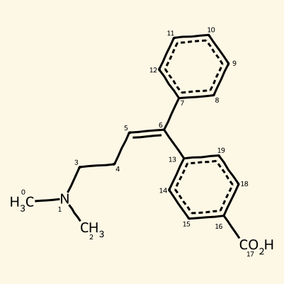 CN(C)CCC=C(c1ccccc1)c1ccc(C(=O)O)cc1